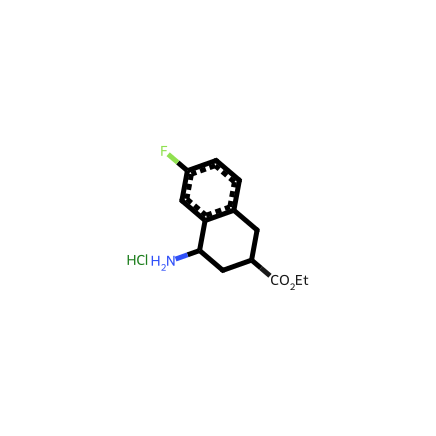 CCOC(=O)C1Cc2ccc(F)cc2C(N)C1.Cl